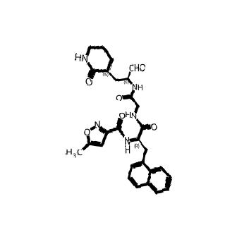 Cc1cc(C(=O)N[C@H](Cc2cccc3ccccc23)C(=O)NCC(=O)N[C@H](C=O)C[C@@H]2CCCNC2=O)no1